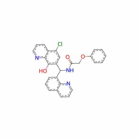 O=C(COc1ccccc1)NC(c1cc(Cl)c2cccnc2c1O)c1cccc2cccnc12